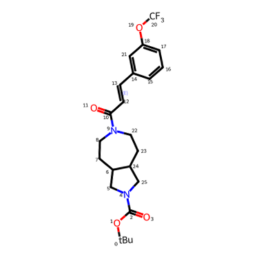 CC(C)(C)OC(=O)N1CC2CCN(C(=O)/C=C/c3cccc(OC(F)(F)F)c3)CCC2C1